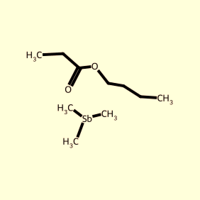 CCCCOC(=O)CC.[CH3][Sb]([CH3])[CH3]